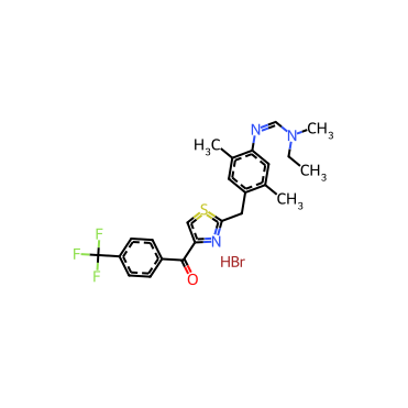 Br.CCN(C)/C=N\c1cc(C)c(Cc2nc(C(=O)c3ccc(C(F)(F)F)cc3)cs2)cc1C